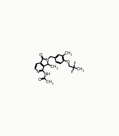 CC(=O)Nc1nccc2c1C(C)N(Cc1ccc(OCC(C)(F)F)c(C)c1)C2=O